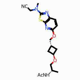 CC(=O)N[C@@H](C)CO[C@H]1C[C@H](COc2ccc3nc(N(C)CC#N)sc3n2)C1